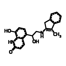 C[C@@H]1c2ccccc2C[C@@H]1NCC(O)c1ccc(O)c2[nH]c(=O)ccc12